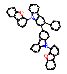 c1ccc(-c2cc3c4ccccc4n(-c4cccc5c4oc4ccccc45)c3cc2-c2ccc3c(c2)c2ccccc2n3-c2cccc3c2oc2ccccc23)cc1